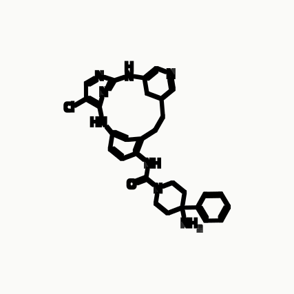 NC1(c2ccccc2)CCN(C(=O)Nc2ccc3cc2CCC2C=NC=C(C2)Nc2ncc(Cl)c(n2)N3)CC1